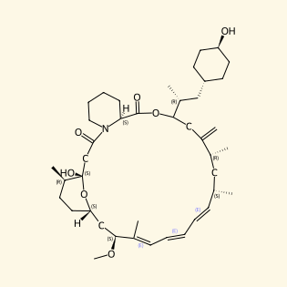 C=C1CC([C@H](C)C[C@H]2CC[C@H](O)CC2)OC(=O)[C@@H]2CCCCN2C(=O)C[C@]2(O)O[C@@H](CC[C@H]2C)C[C@H](OC)/C(C)=C/C=C/C=C/[C@@H](C)C[C@H]1C